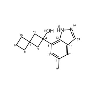 Cc1cc(C2(O)CC3(CCC3)C2)c2[nH]ncc2c1